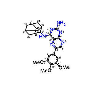 COc1cc(-c2cnc3nc(N)nc(NC4C5CC6CC(C5)CC4C6)c3n2)cc(OC)c1OC